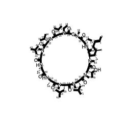 C/C=C/C[C@@H](C)[C@H](C)[C@@H]1C(=O)N[C@@H](CC)C(=O)N(C)CC(=O)N(CC)[C@@H](C(C)C)C(=O)N[C@@H](C(C)C)C(=O)N(C)[C@@H](CC(C)C)C(=O)N[C@@H](C)C(=O)N[C@@H](C)C(=O)N(C)[C@@H](CC(C)C)C(=O)N(C)[C@@H](CC(C)C)C(=O)N(C)[C@@H](C(C)O)C(=O)N1C